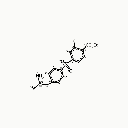 CCOC(=O)c1ccc(S(=O)(=O)c2ccc(C[C@@H](C)N)cc2)cc1C